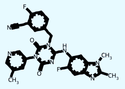 Cc1cncc(-n2c(=O)nc(Nc3cc4c(cc3F)nc(C)n4C)n(Cc3ccc(F)c(C#N)c3)c2=O)c1